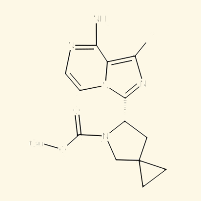 CC(C)(C)OC(=O)N1CC2(CC2)C[C@H]1c1nc(I)c2c(N)nccn12